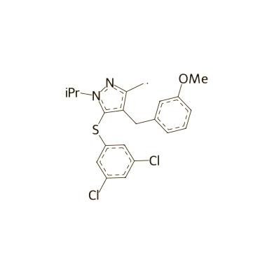 [CH2]c1nn(C(C)C)c(Sc2cc(Cl)cc(Cl)c2)c1Cc1cccc(OC)c1